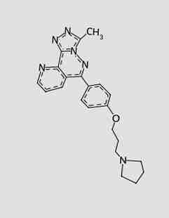 Cc1nnc2c3ncccc3c(-c3ccc(OCCCN4CCCC4)cc3)nn12